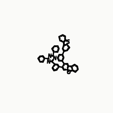 c1ccc(-c2nc(-c3ccccc3)nc(-c3cccc(-c4cc5oc6ccccc6c5cc4-c4cccc(-c5ccc6sc7ccccc7c6c5)c4)c3)n2)cc1